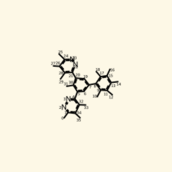 Cc1nnc(-c2cc(-c3c(C)c(C)c(C)c(C)c3C)cc(-c3nnc(C)c(C)c3C)c2C)c(C)c1C